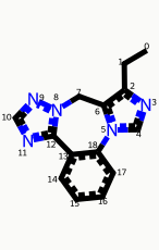 CCc1ncn2c1Cn1ncnc1-c1ccccc1-2